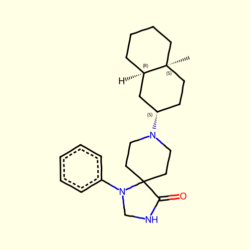 C[C@@]12CCCC[C@@H]1C[C@@H](N1CCC3(CC1)C(=O)NCN3c1ccccc1)CC2